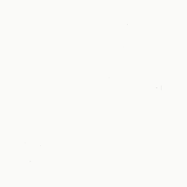 CC(=O)Oc1cc(O)c(Cc2ccc(C3CC3)cc2)c(F)c1C